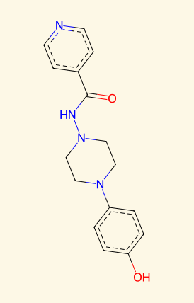 O=C(NN1CCN(c2ccc(O)cc2)CC1)c1ccncc1